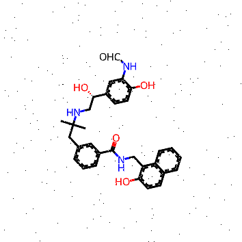 CC(C)(Cc1cccc(C(=O)NCc2c(O)ccc3ccccc23)c1)NC[C@H](O)c1ccc(O)c(NC=O)c1